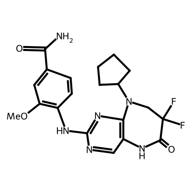 COc1cc(C(N)=O)ccc1Nc1ncc2c(n1)N(C1CCCC1)CC(F)(F)C(=O)N2